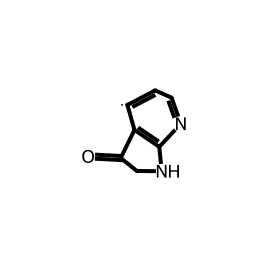 O=C1CNc2ncc[c]c21